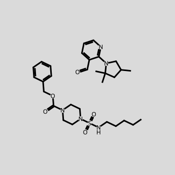 CC1CN(c2ncccc2C=O)C(C)(C)C1.CCCCCNS(=O)(=O)N1CCN(C(=O)OCc2ccccc2)CC1